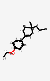 CCCC1(C)CC=C(c2ccc(OCC)cc2)CC1